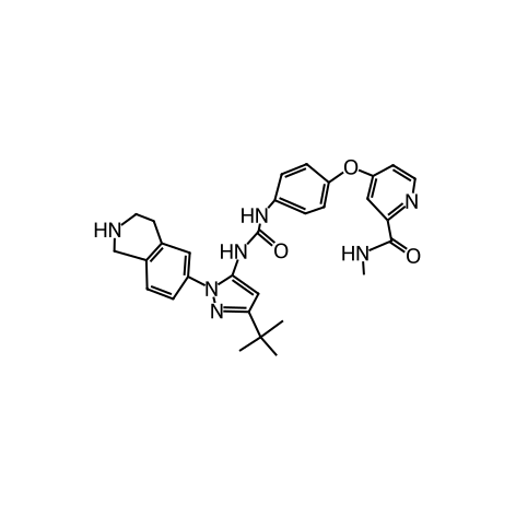 CNC(=O)c1cc(Oc2ccc(NC(=O)Nc3cc(C(C)(C)C)nn3-c3ccc4c(c3)CCNC4)cc2)ccn1